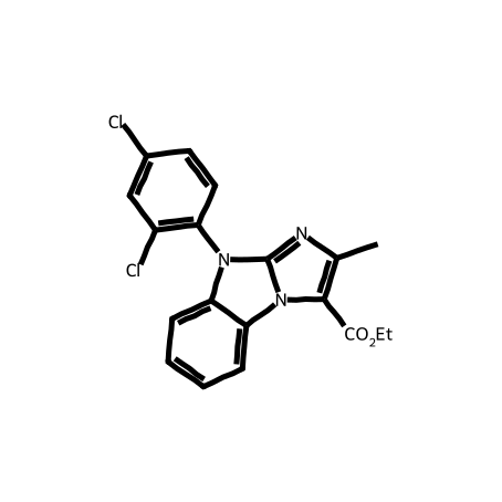 CCOC(=O)c1c(C)nc2n(-c3ccc(Cl)cc3Cl)c3ccccc3n12